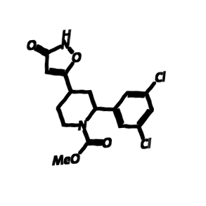 COC(=O)N1CCC(c2cc(=O)[nH]o2)CC1c1cc(Cl)cc(Cl)c1